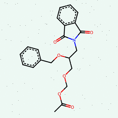 CC(=O)OCOCC(CN1C(=O)c2ccccc2C1=O)OCc1ccccc1